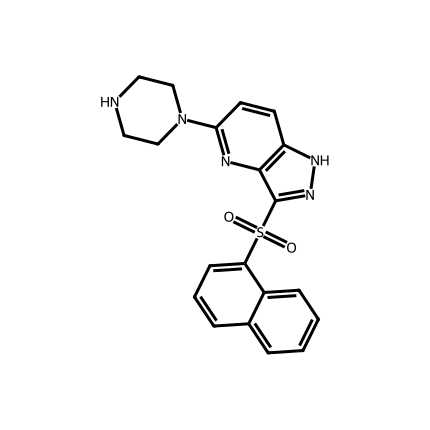 O=S(=O)(c1cccc2ccccc12)c1n[nH]c2ccc(N3CCNCC3)nc12